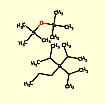 CCC[Si](C(C)C)(C(C)C)C(C)C.C[Si](C)(C)O[Si](C)(C)C